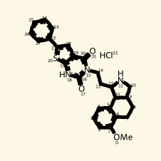 COc1cccc2c1CCC1CNC(CCn3c(=O)[nH]c4sc(-c5ccccc5)cc4c3=O)C21.Cl